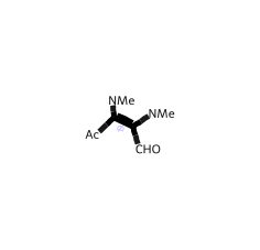 CN/C(C=O)=C(\NC)C(C)=O